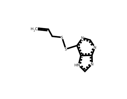 C=CCSSc1ncnc2nc[nH]c12